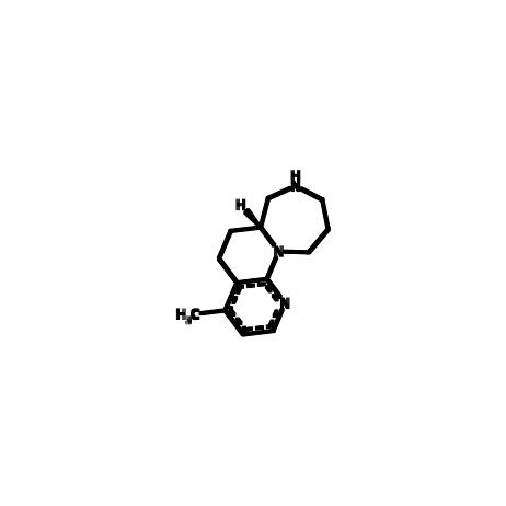 Cc1ccnc2c1CC[C@@H]1CNCCCN21